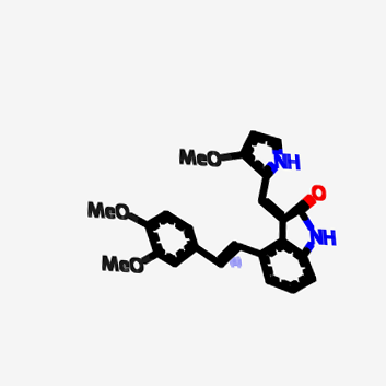 COc1ccc(/C=C/c2cccc3c2C(=Cc2[nH]ccc2OC)C(=O)N3)cc1OC